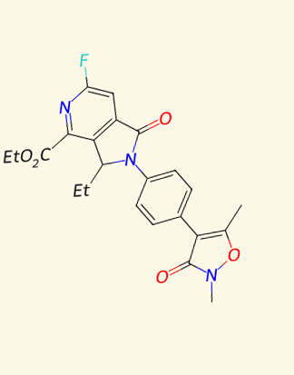 CCOC(=O)c1nc(F)cc2c1C(CC)N(c1ccc(-c3c(C)on(C)c3=O)cc1)C2=O